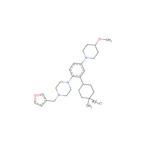 COC1CCN(c2ccc(N3CCN(Cc4ccoc4)CC3)c(C3CCC(C)(C)CC3)c2)CC1.Cl